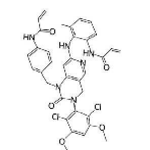 C=CC(=O)Nc1ccc(CN2C(=O)N(c3c(Cl)c(OC)cc(OC)c3Cl)Cc3cnc(Nc4c(C)cccc4NC(=O)C=C)cc32)cc1